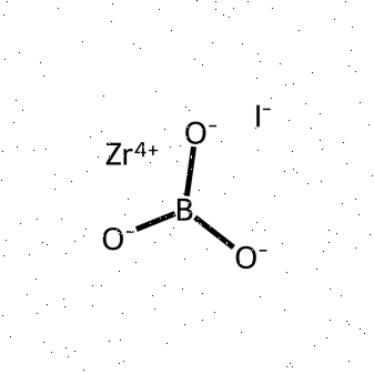 [I-].[O-]B([O-])[O-].[Zr+4]